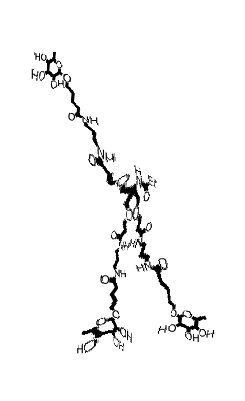 CCC(=O)NC(COCCC(=O)NCCCNC(=O)CCCCOC1OC(C)C(O)C(O)C1O)(COCCC(=O)NCCCNC(=O)CCCCOC1OC(C)C(O)C(O)C1O)COCCC(=O)NCCCNC(=O)CCCCOC1OC(C)C(O)C(O)C1O